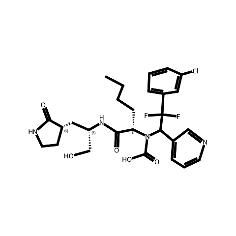 CCCC[C@@H](C(=O)N[C@H](CO)C[C@@H]1CCNC1=O)N(C(=O)O)C(c1cccnc1)C(F)(F)c1cccc(Cl)c1